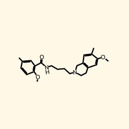 COc1cc2c(cc1C)CN(CCCCNC(=O)c1cc(C)ccc1OC)CC2